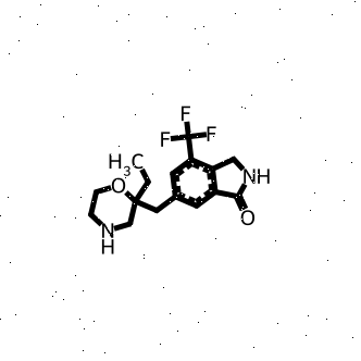 CCC1(Cc2cc3c(c(C(F)(F)F)c2)CNC3=O)CNCCO1